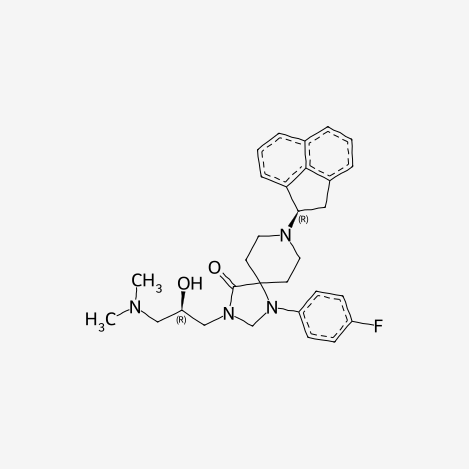 CN(C)C[C@@H](O)CN1CN(c2ccc(F)cc2)C2(CCN([C@@H]3Cc4cccc5cccc3c45)CC2)C1=O